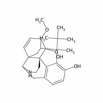 COC12C=CC3(CC1C(C)(O)C(C)(C)C)C1Cc4ccc(O)c5c4[C@@]3(CCN1)C2O5